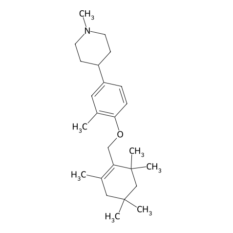 CC1=C(COc2ccc(C3CCN(C)CC3)cc2C)C(C)(C)CC(C)(C)C1